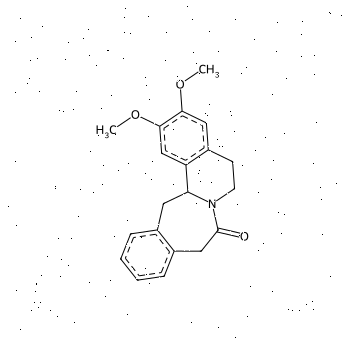 COc1cc2c(cc1OC)C1Cc3ccccc3CC(=O)N1CC2